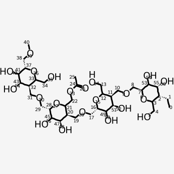 CC[C@@H]1C(CO)O[C@@H](COC[C@@H]2C(CO)O[C@@H](COC[C@@H]3C(COC(C)=O)O[C@@H](COC[C@@H]4C(CO)O[C@@H](COC)C(O)[C@@H]4O)C(O)[C@@H]3O)C(O)[C@@H]2O)C(O)[C@@H]1O